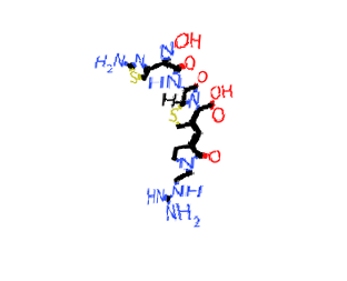 N=C(N)NCCN1CC/C(=C\C2=C(C(=O)O)N3C(=O)[C@@H](NC(=O)/C(=N\O)c4csc(N)n4)[C@H]3SC2)C1=O